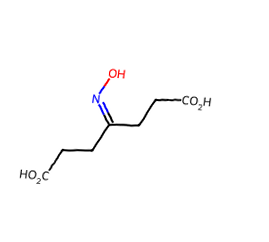 O=C(O)CCC(CCC(=O)O)=NO